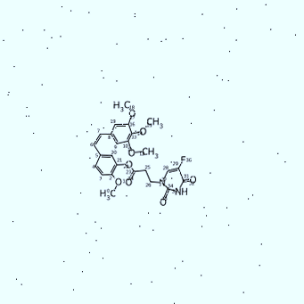 COc1ccc(/C=C\c2cc(OC)c(OC)c(OC)c2)cc1OC(=O)CCn1cc(F)c(=O)[nH]c1=O